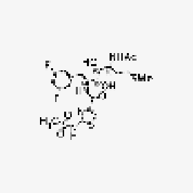 CSCC[C@@H](NC(C)=O)[C@@H](O)[C@H](O)[C@H](Cc1cc(F)cc(F)c1)NC(=O)c1csc(NS(C)(=O)=O)n1